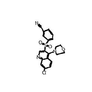 N#Cc1cccc(S(=O)(=O)c2cnc3cc(Cl)ccc3c2N2CCOCC2)c1